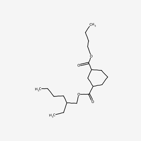 CCCCOC(=O)C1CCCC(C(=O)OCC(CC)CCCC)C1